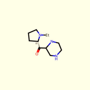 CCN1CCC[C@H]1C(=O)C1CNCC[N]1